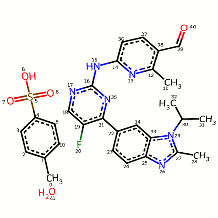 Cc1ccc(S(=O)(=O)O)cc1.Cc1nc(Nc2ncc(F)c(-c3ccc4nc(C)n(C(C)C)c4c3)n2)ccc1C=O.O